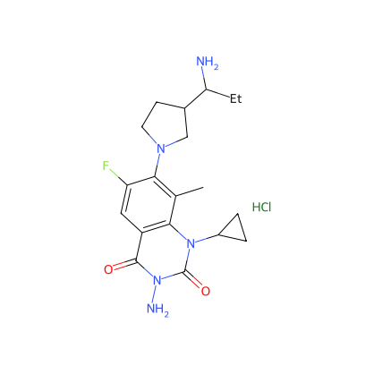 CCC(N)C1CCN(c2c(F)cc3c(=O)n(N)c(=O)n(C4CC4)c3c2C)C1.Cl